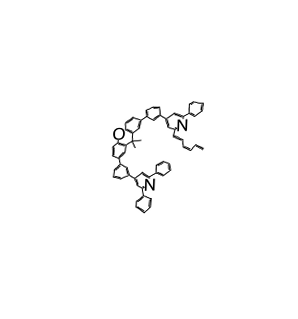 C=C/C=C\C=C\c1cc(-c2cccc(-c3ccc4c(c3)C(C)(C)c3cc(-c5cccc(-c6cc(-c7ccccc7)nc(-c7ccccc7)c6)c5)ccc3O4)c2)cc(-c2ccccc2)n1